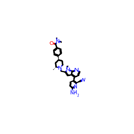 C[C@@H]1C[C@@H](c2ccc(C(=O)N(C)C)cc2)CCN1Cc1cc2c(-c3ccc(N)nc3C#N)ccnc2n1C